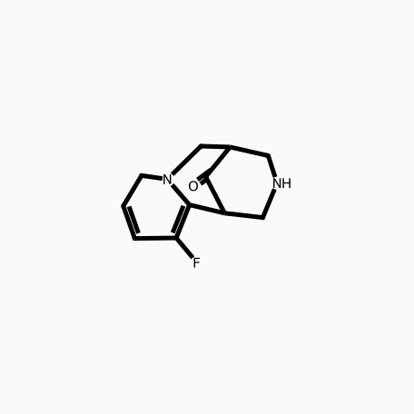 O=C1C2CNCC1C1=C(F)C=CCN1C2